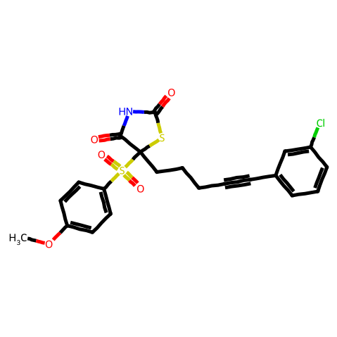 COc1ccc(S(=O)(=O)C2(CCCC#Cc3cccc(Cl)c3)SC(=O)NC2=O)cc1